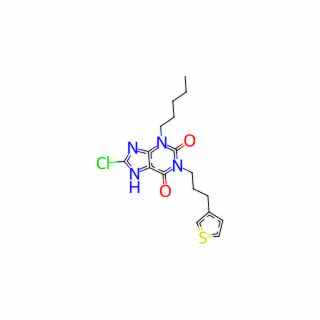 CCCCCn1c(=O)n(CCCc2ccsc2)c(=O)c2[nH]c(Cl)nc21